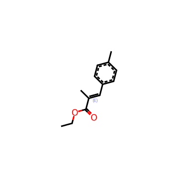 CCOC(=O)/C(C)=C/c1ccc(C)cc1